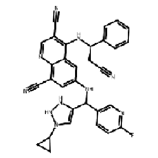 N#CC[C@@H](Nc1c(C#N)cnc2c(C#N)cc(NC(C3=CN(C4CC4)NN3)c3ccc(F)nc3)cc12)c1ccccc1